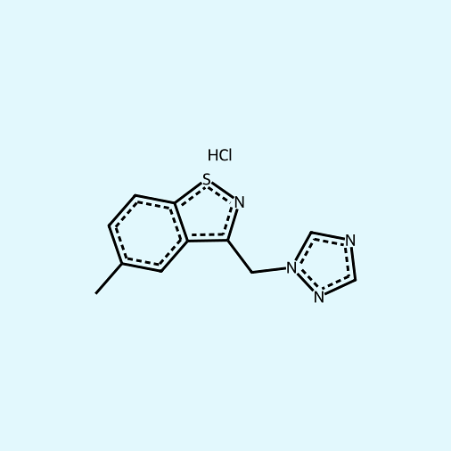 Cc1ccc2snc(Cn3cncn3)c2c1.Cl